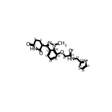 Cn1nc(C2CCC(=O)NC2=O)c2cccc(OCC(=O)NCc3nccs3)c21